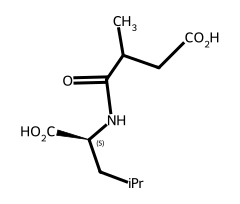 CC(C)C[C@H](NC(=O)C(C)CC(=O)O)C(=O)O